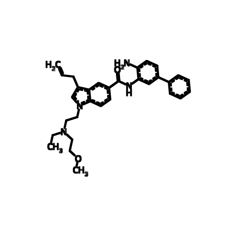 C=CCc1cn(CCN(CC)CCOC)c2ccc(C(=O)Nc3cc(-c4ccccc4)ccc3N)cc12